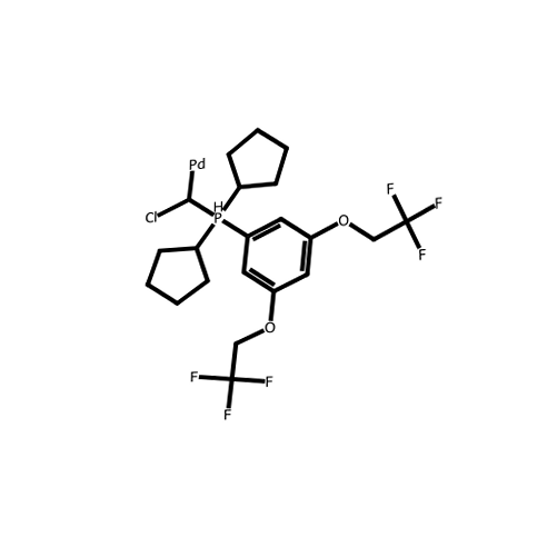 FC(F)(F)COc1cc(OCC(F)(F)F)cc([PH]([CH](Cl)[Pd])(C2CCCC2)C2CCCC2)c1